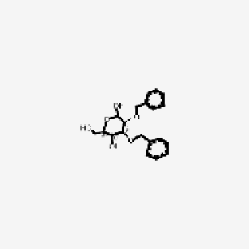 OC[C@H]1OC(O)[C@H](OCc2ccccc2)[C@@H](OCc2ccccc2)[C@H]1O